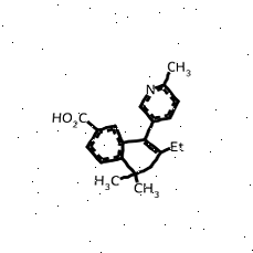 CCC1=C(c2ccc(C)nc2)c2cc(C(=O)O)ccc2C(C)(C)C1